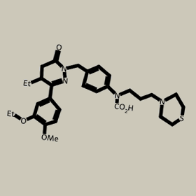 CCOc1cc(C2=NN(Cc3ccc(N(CCCN4CCSCC4)C(=O)O)cc3)C(=O)CC2CC)ccc1OC